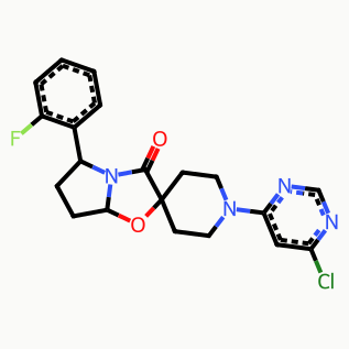 O=C1N2C(CCC2c2ccccc2F)OC12CCN(c1cc(Cl)ncn1)CC2